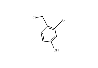 CC(=O)c1cc(O)ccc1CCl